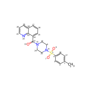 Cc1ccc(S(=O)(=O)N2CCN(C(=O)c3cccc4cccnc34)CC2)cc1